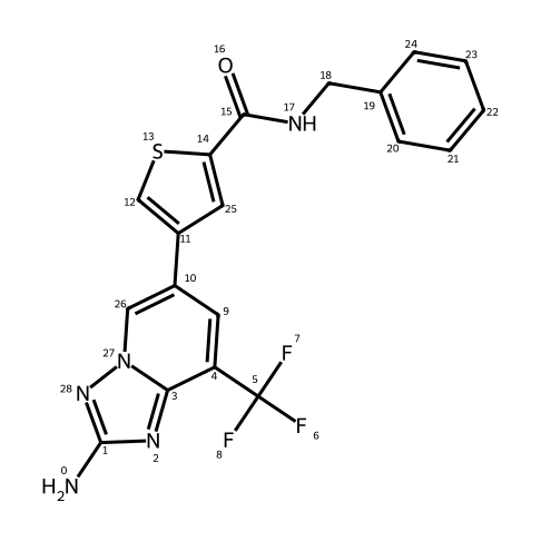 Nc1nc2c(C(F)(F)F)cc(-c3csc(C(=O)NCc4ccccc4)c3)cn2n1